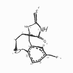 O=C1NC(=S)NC12CCOc1ccc(F)cc12